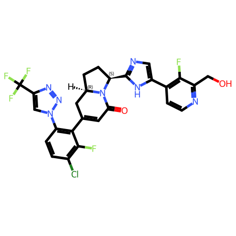 O=C1C=C(c2c(-n3cc(C(F)(F)F)nn3)ccc(Cl)c2F)C[C@H]2CC[C@@H](c3ncc(-c4ccnc(CO)c4F)[nH]3)N12